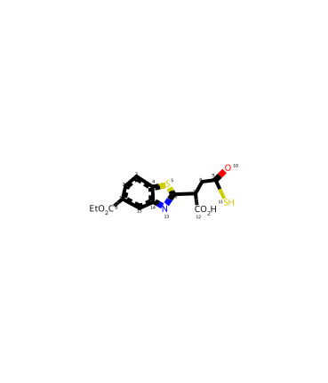 CCOC(=O)c1ccc2sc(C(CC(=O)S)C(=O)O)nc2c1